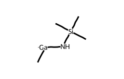 [CH3][Ga][NH][Si](C)(C)C